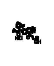 Cl.O=C(O)CCC(=O)SC1CCN(C(C(=O)C2CC2)c2ccccc2F)CC1=Cc1csnn1